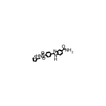 NC(=O)c1ccc2[nH]c(-c3ccc(S(=O)(=O)NCc4cccs4)cc3)nc2c1